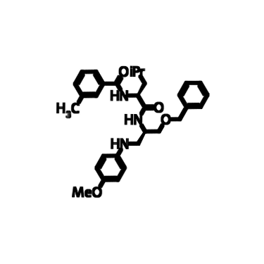 COc1ccc(NC[C@H](COCc2ccccc2)NC(=O)[C@H](CC(C)C)NC(=O)c2cccc(C)c2)cc1